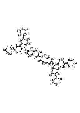 c1ccc(-c2ccc3c(c2)c2cc(-c4ccccc4)ccc2n3-c2ccc3cc(-c4ccc5cc(-n6c7ccc(-c8ccccc8)cc7c7cc(-c8ccccc8)ccc76)ccc5c4)ccc3c2)cc1